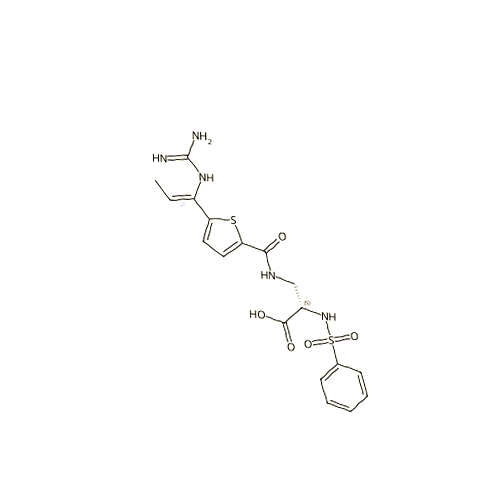 C/C=C(\NC(=N)N)c1ccc(C(=O)NC[C@H](NS(=O)(=O)c2ccccc2)C(=O)O)s1